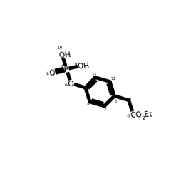 CCOC(=O)Cc1ccc(OP(=O)(O)O)cc1